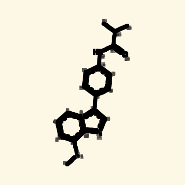 CSc1nccn2c(-c3ccc(NC(=O)C(C)C)cc3)cnc12